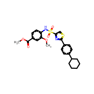 COC(=O)c1ccc(NS(=O)(=O)c2csc(-c3ccc(C4CCCCC4)cc3)n2)c(OC)c1